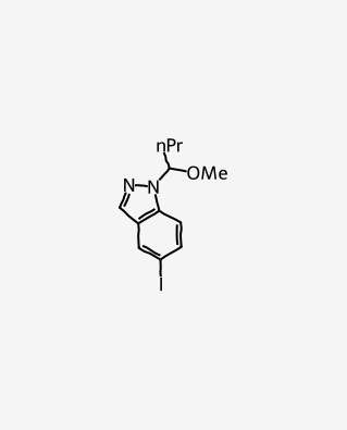 CCCC(OC)n1ncc2cc(I)ccc21